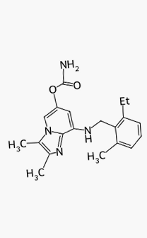 CCc1cccc(C)c1CNc1cc(OC(N)=O)cn2c(C)c(C)nc12